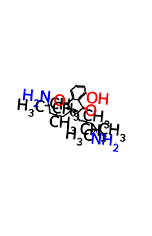 CC(C)(N)CC(C)(C)CC1=C(CC(C)(C)CC(C)(C)N)C(=O)c2c(O)cccc2C1=O